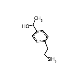 CC(O)c1ccc(CC[SiH3])cc1